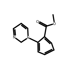 COC(=O)c1ccccc1N1C=CC=NC1